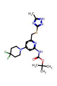 Cc1nc(SCc2cc(N3CCC(F)(F)CC3)cc(NC(=O)OC(C)(C)C)n2)n[nH]1